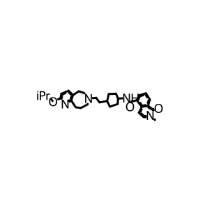 CC(C)Oc1ccc2c(n1)CCCN(CCC1CCC(NC(=O)c3cccc4c(=O)n(C)ccc34)CC1)CC2